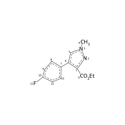 CCOC(=O)c1nn(C)cc1-c1ccc(F)cc1